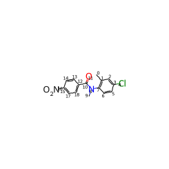 Cc1cc(Cl)ccc1N(C)C(=O)c1ccc([N+](=O)[O-])cc1